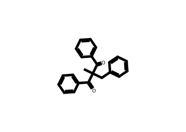 CC(Cc1ccccc1)(C(=O)c1ccccc1)C(=O)c1ccccc1